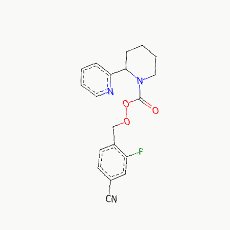 N#Cc1ccc(COOC(=O)N2CCCCC2c2ccccn2)c(F)c1